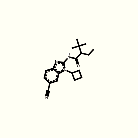 CCC(C(=O)Nc1nc2ccc(C#N)cc2n1C1CCC1)C(C)(C)C